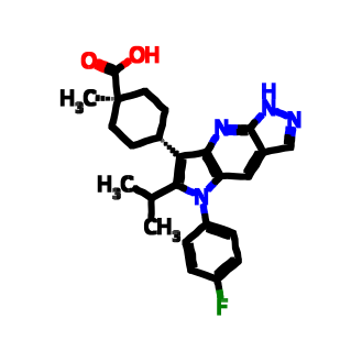 CC(C)c1c([C@H]2CC[C@](C)(C(=O)O)CC2)c2nc3[nH]ncc3cc2n1-c1ccc(F)cc1